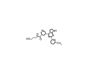 Cc1cccc(-c2nc(-c3cncc(C(=O)NCCCO)c3)c3cc[nH]c3n2)n1